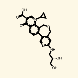 O=C(O)c1cn(C2CC2)c2c3c(ccc2c1=O)-c1cnc(NC[C@H](O)CO)cc1COC3